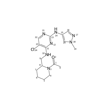 CC(=O)N1CCCCC1CNc1nc(Nc2cnn(C)c2)ncc1Cl